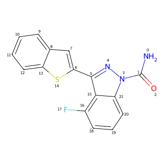 NC(=O)n1nc(-c2cc3ccccc3s2)c2c(F)[c]ccc21